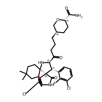 CC1(C)CCC2(CC1)N[C@@H](C(=O)CCC[C@@H]1CC[C@@H](C(N)=O)OC1)[C@H](c1cccc(Cl)c1F)[C@]21C(=O)Nc2cc(Cl)ncc21